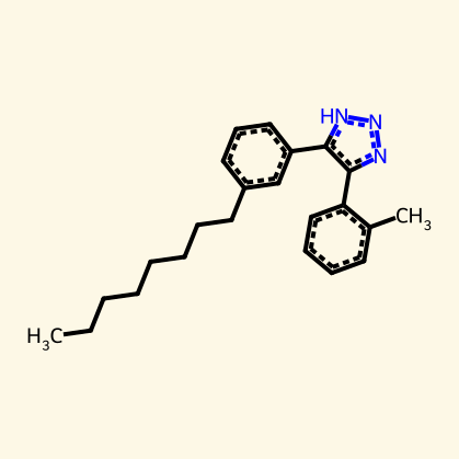 CCCCCCCCc1cccc(-c2[nH]nnc2-c2ccccc2C)c1